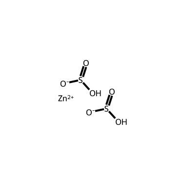 O=S([O-])O.O=S([O-])O.[Zn+2]